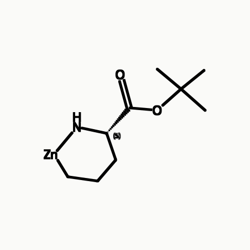 CC(C)(C)OC(=O)[C@@H]1CC[CH2][Zn][NH]1